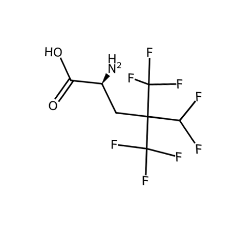 N[C@@H](CC(C(F)F)(C(F)(F)F)C(F)(F)F)C(=O)O